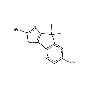 CC(C)C1=NC2=C(C1)c1ccc(C(C)C)cc1C2(C)C